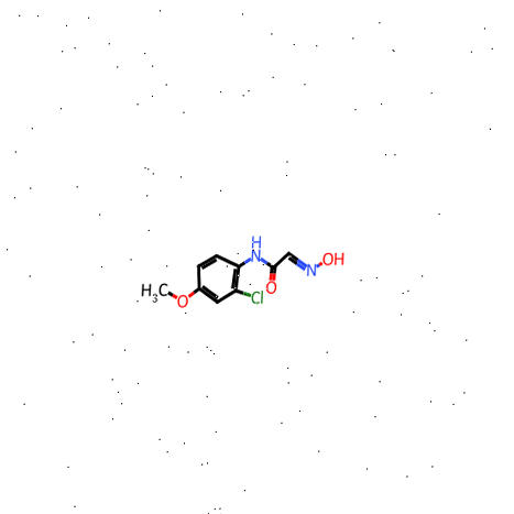 COc1ccc(NC(=O)C=NO)c(Cl)c1